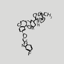 CS(=O)(=O)NC(=O)c1cccc(C[C@H]2CCOc3ccc(OCc4nc5cc(F)ccc5s4)cc3[C@H]2O)c1